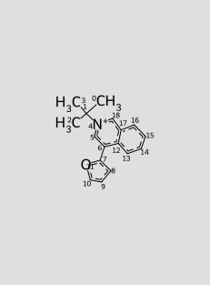 CC(C)(C)[n+]1cc(-c2ccco2)c2ccccc2c1